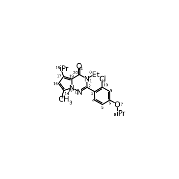 CCn1c(-c2ccc(OC(C)C)cc2Cl)nn2c(C)cc(C(C)C)c2c1=O